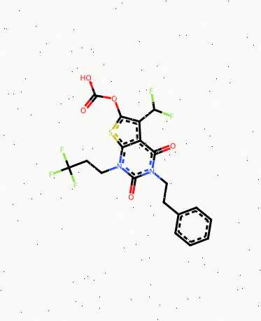 O=C(O)Oc1sc2c(c1C(F)F)c(=O)n(CCc1ccccc1)c(=O)n2CCC(F)(F)F